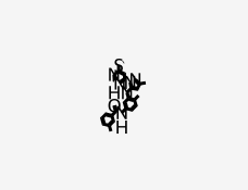 CSc1cc(-n2nc(C)cc2Nc2cc(NC(=O)c3cccc(C)c3)ccc2C)ncn1